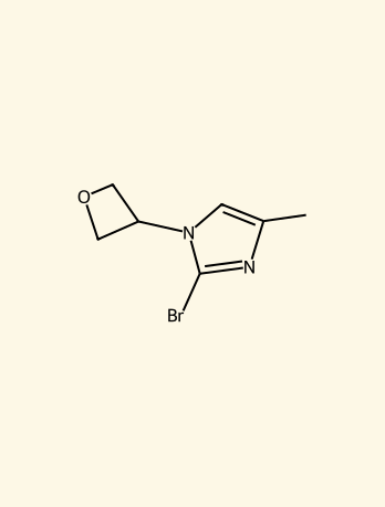 Cc1cn(C2COC2)c(Br)n1